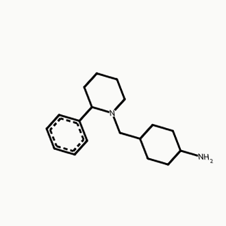 NC1CCC(CN2CCCCC2c2ccccc2)CC1